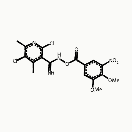 COc1cc(C(=O)ONC(=N)c2c(Cl)nc(C)c(Cl)c2C)cc([N+](=O)[O-])c1OC